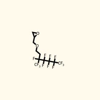 FC(F)(F)C(F)(F)C(F)(F)C(F)(F)C(F)(CCOCC1CO1)C(F)(F)F